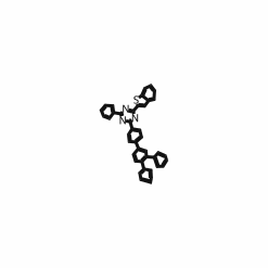 c1ccc(-c2nc(-c3ccc(-c4ccc(-c5ccccc5)c(-c5ccccc5)c4)cc3)nc(-c3cc4ccccc4s3)n2)cc1